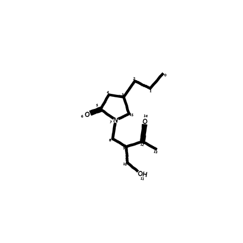 CCCC1CC(=O)N(CC(CO)C(C)=O)C1